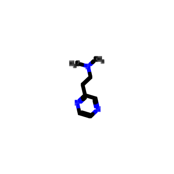 CN(C)CCc1cnccn1